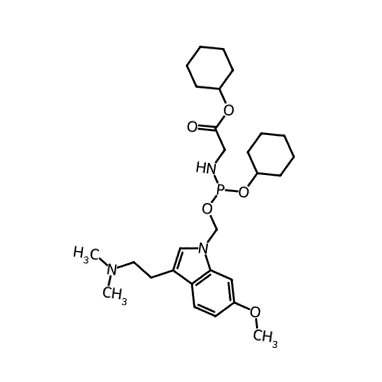 COc1ccc2c(CCN(C)C)cn(COP(NCC(=O)OC3CCCCC3)OC3CCCCC3)c2c1